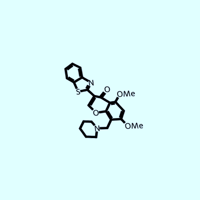 COc1cc(OC)c2c(=O)c(-c3nc4ccccc4s3)coc2c1CN1CCCCC1